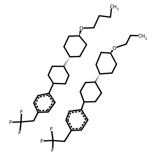 CCCCO[C@H]1CC[C@H](C2CCC(c3ccc(CC(F)(F)F)cc3)CC2)CC1.CCCO[C@H]1CC[C@H](C2CCC(c3ccc(CC(F)(F)F)cc3)CC2)CC1